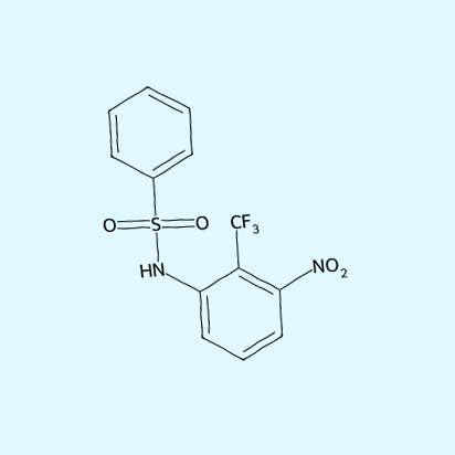 O=[N+]([O-])c1cccc(NS(=O)(=O)c2ccccc2)c1C(F)(F)F